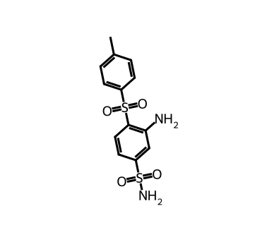 Cc1ccc(S(=O)(=O)c2ccc(S(N)(=O)=O)cc2N)cc1